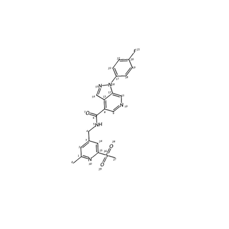 Cc1cc(CNC(=O)c2cncc3c2cnn3-c2ccc(F)cc2)cc(S(C)(=O)=O)n1